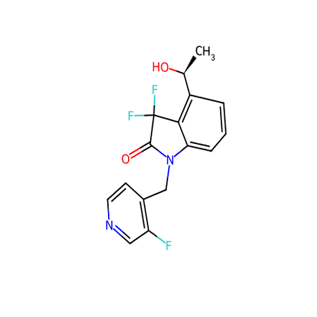 C[C@H](O)c1cccc2c1C(F)(F)C(=O)N2Cc1ccncc1F